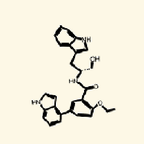 CCOc1ccc(-c2cccc3[nH]ccc23)cc1C(=O)N[C@@H](CO)Cc1c[nH]c2ccccc12